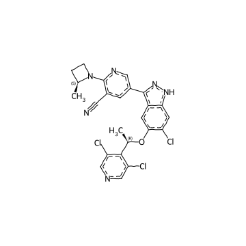 C[C@@H](Oc1cc2c(-c3cnc(N4CC[C@@H]4C)c(C#N)c3)n[nH]c2cc1Cl)c1c(Cl)cncc1Cl